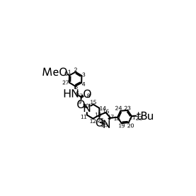 COc1cccc(NC(=O)ON2CCC3(CC2)CC(c2ccc(C(C)(C)C)cc2)=NO3)c1